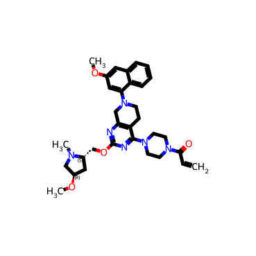 C=CC(=O)N1CCN(c2nc(OC[C@@H]3C[C@@H](OC)CN3C)nc3c2CCN(c2cc(OC)cc4ccccc24)C3)CC1